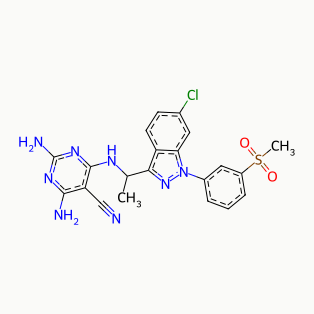 CC(Nc1nc(N)nc(N)c1C#N)c1nn(-c2cccc(S(C)(=O)=O)c2)c2cc(Cl)ccc12